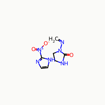 C=NN1CCNC1=O.O=[N+]([O-])c1ncc[nH]1